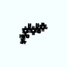 CC(C)CCNC(=O)c1cccc(Nc2cccc(NC(=O)c3cccnc3)c2)c1